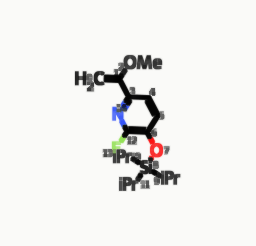 C=C(OC)c1ccc(O[Si](C(C)C)(C(C)C)C(C)C)c(F)n1